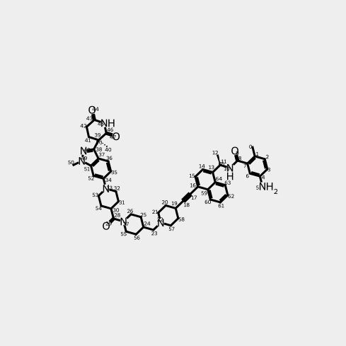 Cc1ccc(N)cc1C(=O)N[C@H](C)c1ccc(C#CC2CCN(CC3CCN(C(=O)C4CCN(c5ccc6c([C@@]7(C)CCC(=O)NC7=O)nn(C)c6c5)CC4)CC3)CC2)c2ccccc12